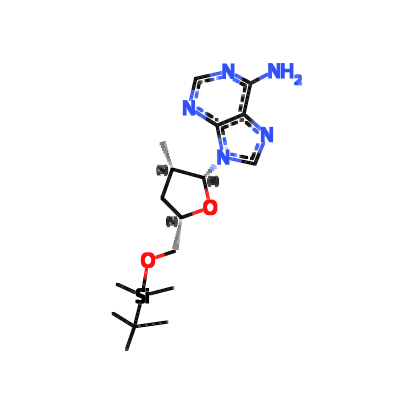 C[C@H]1C[C@@H](CO[Si](C)(C)C(C)(C)C)O[C@H]1n1cnc2c(N)ncnc21